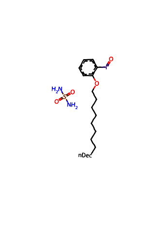 CCCCCCCCCCCCCCCCCCOc1ccccc1I=O.NS(N)(=O)=O